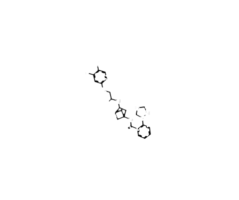 O=C(NC12CC(C1)C(NC(O)COc1ccc(Cl)c(F)c1)C2)c1ccccc1N1CNCN1